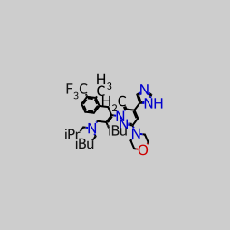 C=C1C(c2cnc[nH]2)=CC(N2CCOCC2)=NN1/C(Cc1cccc(C(F)(F)F)c1C)=C(/CN(CC(C)C)CC(C)CC)C(C)CC